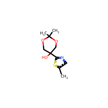 Cc1cnc(C2(O)COC(C)(C)OC2)s1